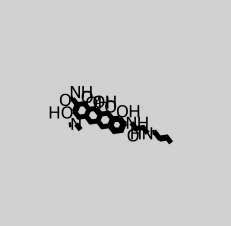 CC=CCNCC(=O)Nc1ccc2c(c1O)C(=O)C1=C(O)[C@]3(O)C(=O)C(C(N)=O)=C(O)[C@@H](N(C)C)C3CC1C2